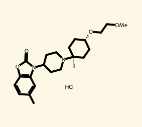 COCCO[C@H]1CC[C@](C)(N2CCC(n3c(=O)oc4ccc(C)cc43)CC2)CC1.Cl